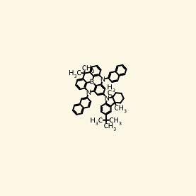 CC(C)(C)c1ccc2c(c1)C1(C)CCCCC1(C)N2c1cc2c3c(c1)N(c1ccc4ccccc4c1)c1cccc4c1B3c1c(cccc1C4(C)C)N2c1ccc2ccccc2c1